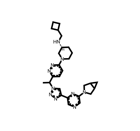 CC(c1ccc(N2CCC[C@@H](NCC3CCC3)C2)nn1)n1cc(-c2cncc(N3CC4CC4C3)n2)nn1